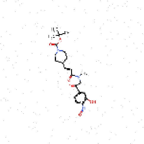 CN(CC(=O)c1ccc(N=O)c(O)c1)C(=O)/C=C/C1CCN(C(=O)OC(C)(C)C)CC1